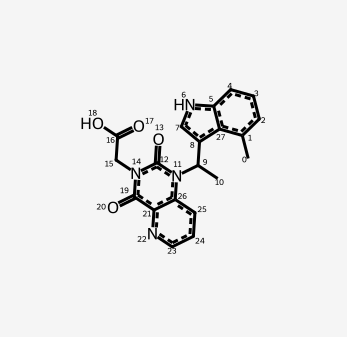 Cc1cccc2[nH]cc(C(C)n3c(=O)n(CC(=O)O)c(=O)c4ncccc43)c12